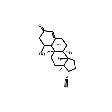 C#C[C@H]1CC[C@H]2[C@@H]3CCC4=CC(=O)CC(O)[C@]4(C)[C@H]3CC[C@]12C